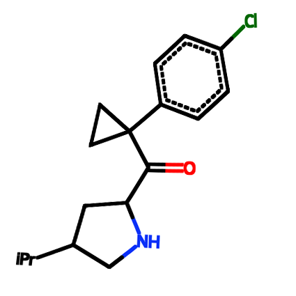 CC(C)C1CNC(C(=O)C2(c3ccc(Cl)cc3)CC2)C1